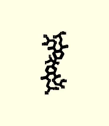 CCCCC(CC)COC(=O)c1ccc(C(F)(c2ccc(C(=O)OCC(CC)CCCC)c(C(=O)OCC(CC)CCCC)c2)C(F)F)cc1C(=O)OCC(CC)CCCC